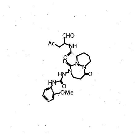 COc1ccccc1NC(=O)NN1CCC(=O)N2CCC[C@@H](C(=O)N[C@H](C=O)CC(C)=O)N2C1=O